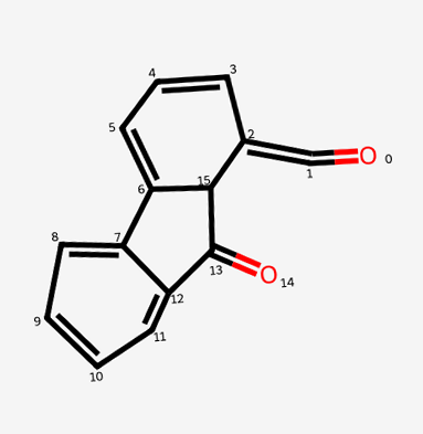 O=C=C1C=CC=C2c3ccccc3C(=O)C12